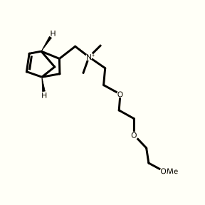 COCCOCCOCC[N+](C)(C)CC1C[C@@H]2C=C[C@H]1C2